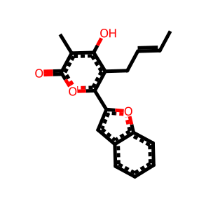 C/C=C/Cc1c(-c2cc3ccccc3o2)oc(=O)c(C)c1O